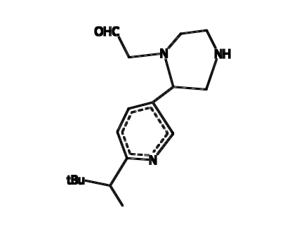 CC(c1ccc(C2CNCCN2CC=O)cn1)C(C)(C)C